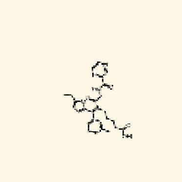 CCc1ccc2c(-c3cncc(C)c3)c(CCCCC(=O)O)c(CNC(=O)c3cnccn3)nn12